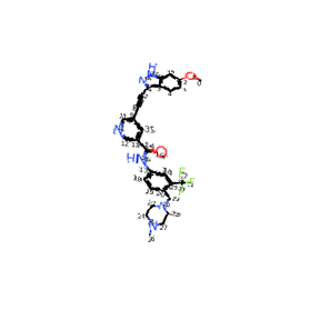 COc1ccc2c(C#Cc3cncc(C(=O)Nc4ccc(CN5CCN(C)CC5)c(C(F)(F)F)c4)c3)n[nH]c2c1